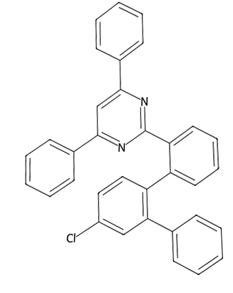 Clc1ccc(-c2ccccc2-c2nc(-c3ccccc3)cc(-c3ccccc3)n2)c(-c2ccccc2)c1